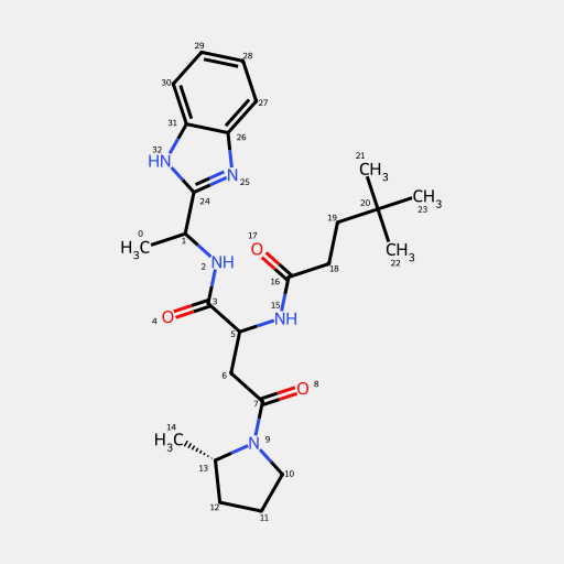 CC(NC(=O)C(CC(=O)N1CCC[C@@H]1C)NC(=O)CCC(C)(C)C)c1nc2ccccc2[nH]1